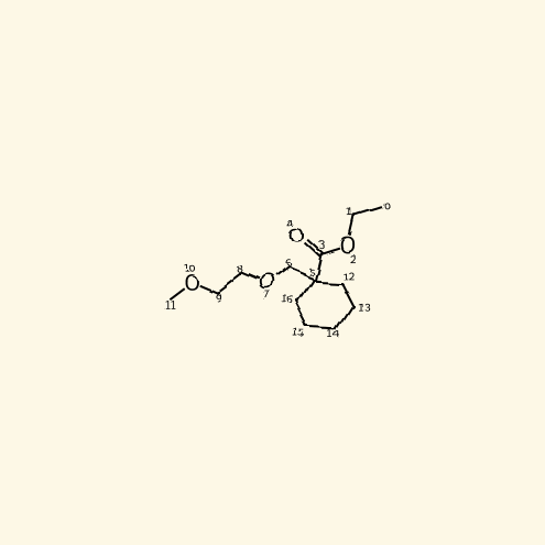 CCOC(=O)C1(COCCOC)CCCCC1